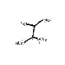 CCCCCCCCC(CCCCCCCC)C([O])CCCCCC